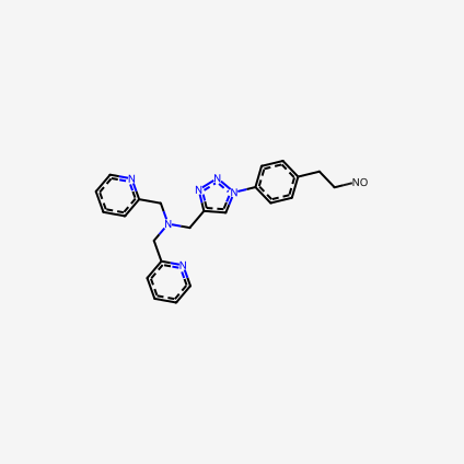 O=NCCc1ccc(-n2cc(CN(Cc3ccccn3)Cc3ccccn3)nn2)cc1